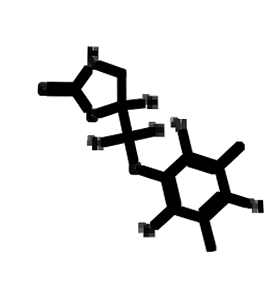 [2H]c1c(C)c([2H])c(OC([2H])([2H])C2([2H])CNC(=O)O2)c([2H])c1C